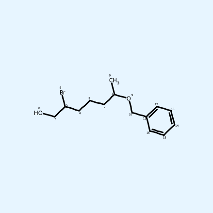 CC(CCCC(Br)CO)OCc1ccccc1